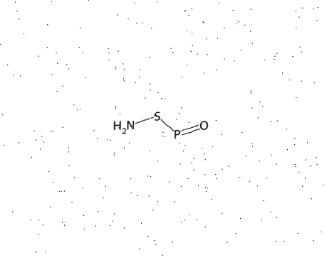 NSP=O